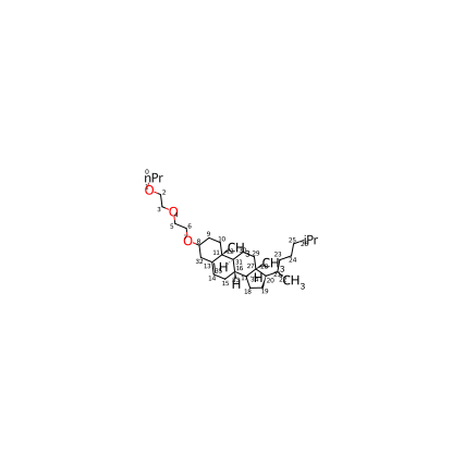 CCCOCCOCCOC1CC[C@@]2(C)C(=CC[C@H]3[C@@H]4CC[C@H]([C@H](C)CCCC(C)C)[C@@]4(C)CC[C@@H]32)C1